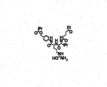 CCC(=O)CCCC(=O)N[C@H](C(=O)N[C@@H](CCCNC(N)O)C(=O)Nc1ccc(COC(=O)C(C)C)cc1)C(C)C